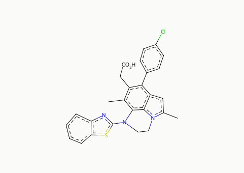 Cc1c(CC(=O)O)c(-c2ccc(Cl)cc2)c2cc(C)n3c2c1N(c1nc2ccccc2s1)CC3